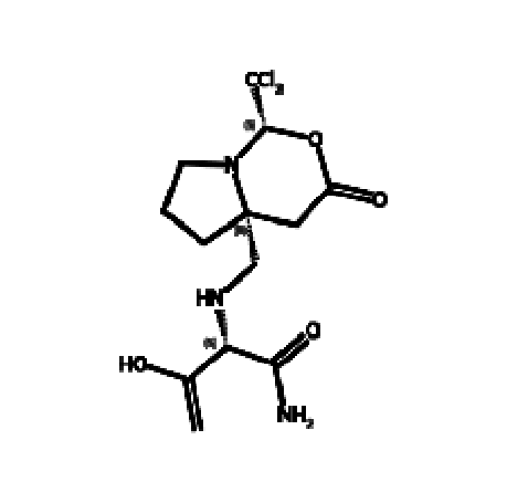 C=C(O)[C@H](NC[C@]12CCCN1[C@H](C(Cl)(Cl)Cl)OC(=O)C2)C(N)=O